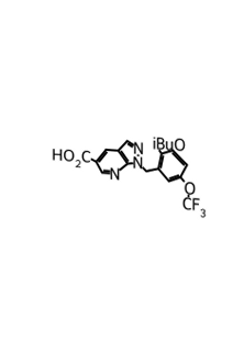 CC(C)COc1ccc(OC(F)(F)F)cc1Cn1ncc2cc(C(=O)O)cnc21